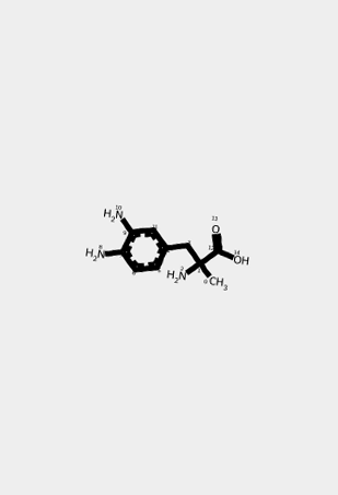 CC(N)(Cc1ccc(N)c(N)c1)C(=O)O